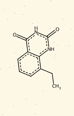 CCc1cccc2c(=O)[nH]c(=O)[nH]c12